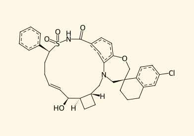 O=C1NS(=O)(=O)[C@H](c2ccccc2)CC/C=C/[C@H](O)[C@@H]2CC[C@H]2CN2C[C@@]3(CCCc4cc(Cl)ccc43)COc3ccc1cc32